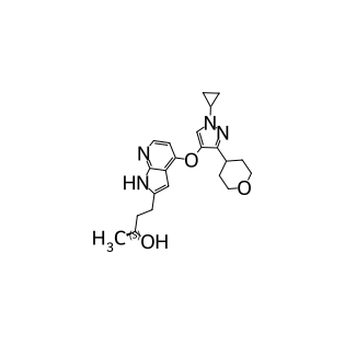 C[C@H](O)CCc1cc2c(Oc3cn(C4CC4)nc3C3CCOCC3)ccnc2[nH]1